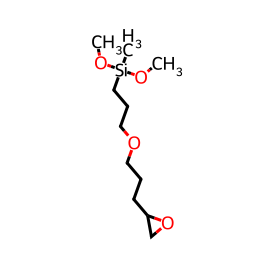 CO[Si](C)(CCCOCCCC1CO1)OC